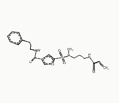 C=CC(=O)NCCCN(C)S(=O)(=O)c1cc(C(=O)NCCc2ccccc2)co1